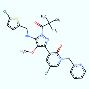 COc1c(-c2cc(Cl)cn(Cc3ccccn3)c2=O)nn(C(=O)C(C)(C)C)c1NCc1ccc(Cl)s1